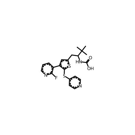 CC(C)(C)C(Cc1cc(-c2cccnc2F)c(Sc2ccncc2)s1)NC(=O)O